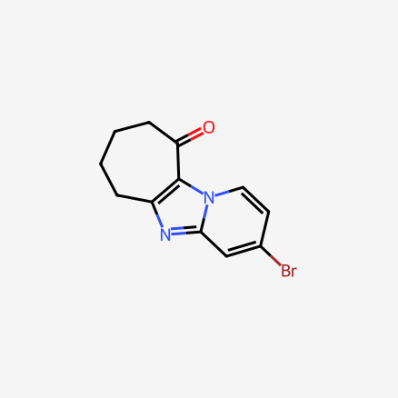 O=C1CCCCc2nc3cc(Br)ccn3c21